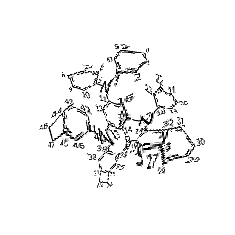 c1ccc(N(c2ccccc2)c2cc3c4c(c2)N(c2ccccc2)c2c(sc5ccccc25)B4c2cc4c(cc2N3c2ccc3c(c2)CC3)CC4)cc1